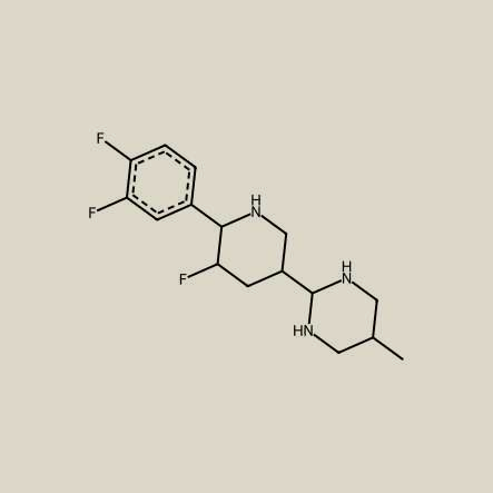 CC1CNC(C2CNC(c3ccc(F)c(F)c3)C(F)C2)NC1